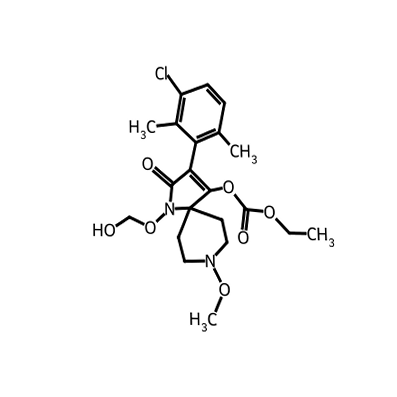 CCOC(=O)OC1=C(c2c(C)ccc(Cl)c2C)C(=O)N(OCO)C12CCN(OC)CC2